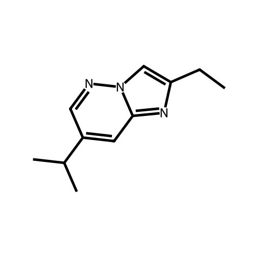 CCc1cn2ncc(C(C)C)cc2n1